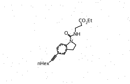 CCCCCCC#Cc1ccc2c(c1)CCN2C(=O)NCCC(=O)OCC